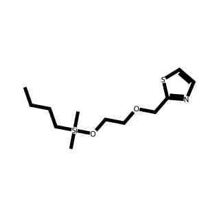 CCCC[Si](C)(C)OCCOCc1nccs1